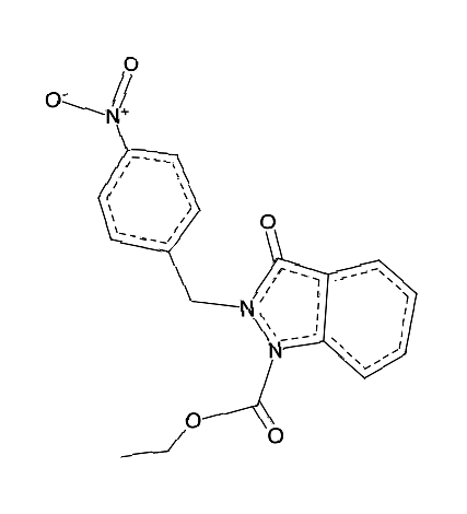 CCOC(=O)n1c2ccccc2c(=O)n1Cc1ccc([N+](=O)[O-])cc1